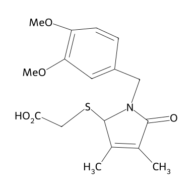 COc1ccc(CN2C(=O)C(C)=C(C)C2SCC(=O)O)cc1OC